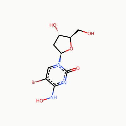 O=c1nc(NO)c(Br)cn1[C@H]1C[C@H](O)[C@@H](CO)O1